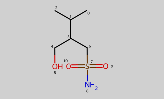 CC(C)C(CO)CS(N)(=O)=O